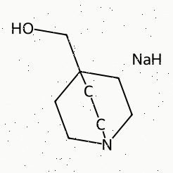 OCC12CCN(CC1)CC2.[NaH]